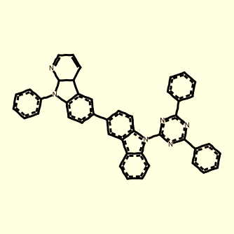 C1=CC2c3cc(-c4ccc5c(c4)c4ccccc4n5-c4nc(-c5ccccc5)nc(-c5ccccc5)n4)ccc3N(c3ccccc3)C2N=C1